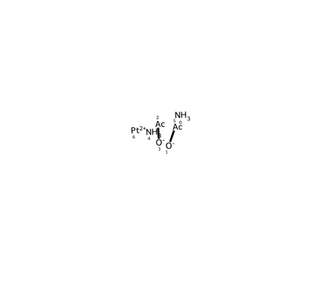 CC(=O)[O-].CC(=O)[O-].N.N.[Pt+2]